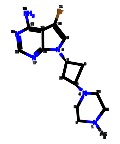 CC(=O)N1CCN([C@H]2C[C@@H](n3cc(Br)c4c(N)ncnc43)C2)CC1